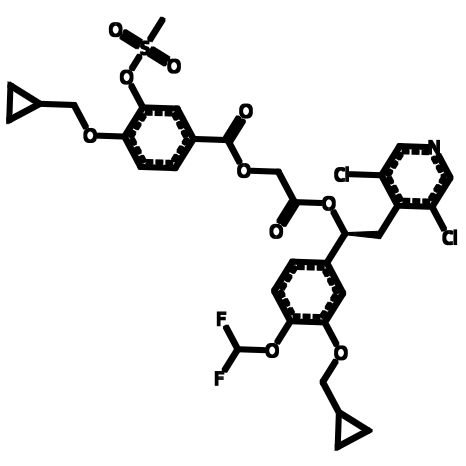 CS(=O)(=O)Oc1cc(C(=O)OCC(=O)O[C@@H](Cc2c(Cl)cncc2Cl)c2ccc(OC(F)F)c(OCC3CC3)c2)ccc1OCC1CC1